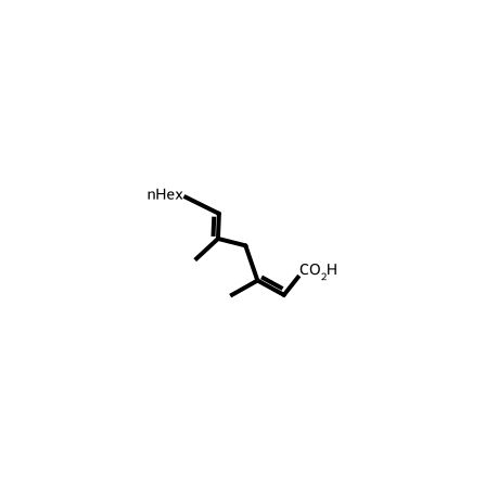 CCCCCC/C=C(\C)C/C(C)=C\C(=O)O